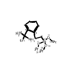 CCC(N)(N)c1ccccc1CC[Si](OC(C)C)(OC(C)C)OC(C)C